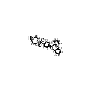 O=S(=O)(c1ccc(N(Cc2ccccc2)c2nccnn2)cc1)N1CCCNCC1